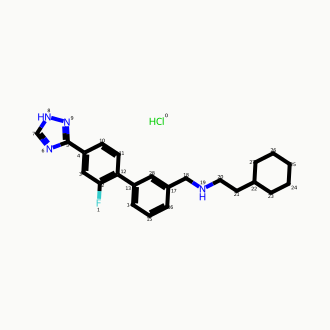 Cl.Fc1cc(-c2nc[nH]n2)ccc1-c1cccc(CNCCC2CCCCC2)c1